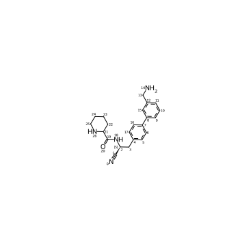 N#C[C@H](Cc1ccc(-c2cccc(CN)c2)cc1)NC(=O)C1CCCCN1